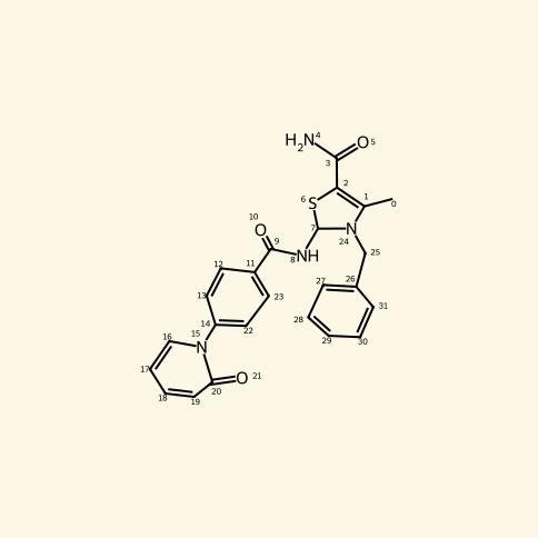 CC1=C(C(N)=O)SC(NC(=O)c2ccc(-n3ccccc3=O)cc2)N1Cc1ccccc1